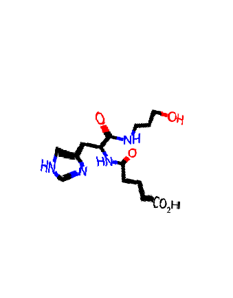 O=C(O)CCCC(=O)NC(Cc1c[nH]cn1)C(=O)NCCCO